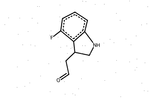 O=CCC1CNc2cccc(F)c21